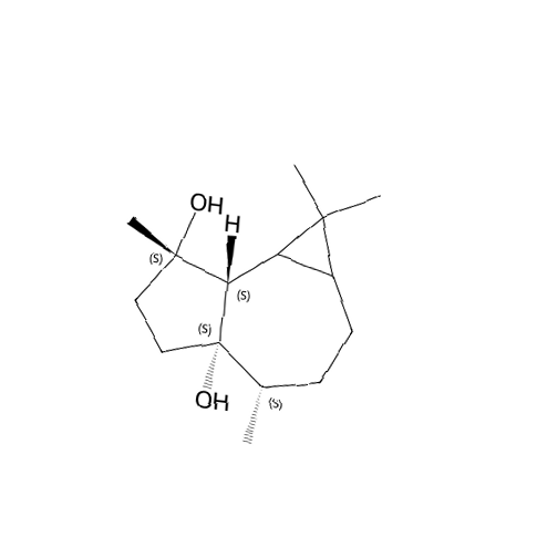 C[C@H]1CCC2C([C@@H]3[C@]1(O)CC[C@]3(C)O)C2(C)C